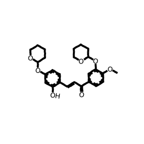 COc1ccc(C(=O)C=Cc2ccc(OC3CCCCO3)cc2O)cc1OC1CCCCO1